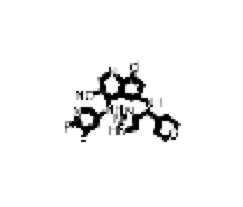 N#Cc1cnc2c(Cl)cc(N[C@@H](C3=CCOCC3)c3c[nH]nn3)cc2c1Nc1cnc(F)c(F)c1